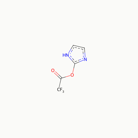 O=C(Oc1ncc[nH]1)C(F)(F)F